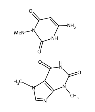 CNn1c(=O)cc(N)[nH]c1=O.Cn1cnc2c1c(=O)[nH]c(=O)n2C